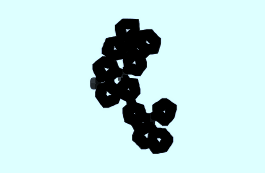 c1ccc(-n2c3cc(-c4ccc(N(c5ccc6c(c5)C(c5ccccc5)(c5ccccc5)c5ccccc5-6)c5cccc6oc7ccccc7c56)cc4)ccc3c3ccc4ccccc4c32)cc1